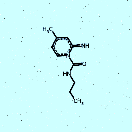 CCCNC(=O)n1ccc(C)cc1=N